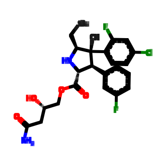 CC(C)(C)C[C@@H]1N[C@@H](C(=O)OC[C@@H](O)CC(N)=O)[C@H](c2cccc(F)c2)[C@@]1(C#N)c1ccc(Cl)cc1F